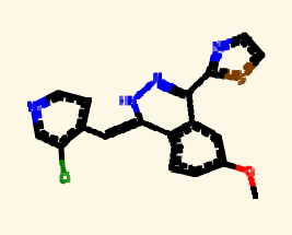 COc1ccc2c(c1)C(c1nccs1)=NNC2=Cc1ccncc1Cl